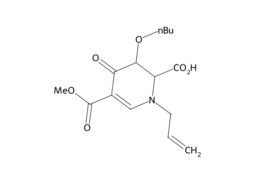 C=CCN1C=C(C(=O)OC)C(=O)C(OCCCC)C1C(=O)O